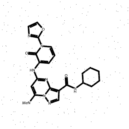 CNc1cc(Nc2cccn(-c3ncco3)c2=O)nc2c(C(=O)NC3CCCCC3)cnn12